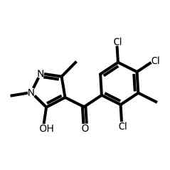 Cc1nn(C)c(O)c1C(=O)c1cc(Cl)c(Cl)c(C)c1Cl